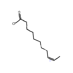 C/C=C\CCCCCCCC(=O)Cl